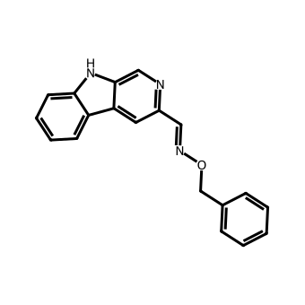 C(=NOCc1ccccc1)c1cc2c(cn1)[nH]c1ccccc12